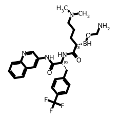 CN(C)CCC[C@H](BOCN)C(=O)N[C@H](Cc1ccc(C(F)(F)F)cc1)C(=O)Nc1cnc2ccccc2c1